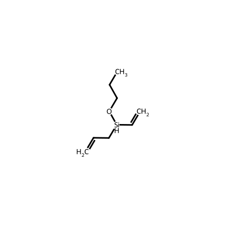 C=CC[SiH](C=C)OCCC